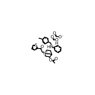 CC(=O)OC1C[N+]2(CC(=O)c3cccs3)CCC1CC2.Cc1ccc(CNc2ccccc2)cc1.O=CO.O=C[O-]